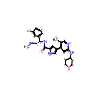 CNC[C@@H](NC(=O)c1cc(-c2cc(NC3CCOCC3)ncc2C)c[nH]1)c1cccc(Cl)c1